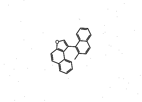 Cc1ccc2ccccc2c1-c1coc2ccc3ccccc3c12